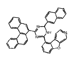 c1ccc2cc(C3N=C(c4cc5ccccc5c5c4ccc4ccccc45)N=C(c4cccc5oc6cnccc6c45)N3)ccc2c1